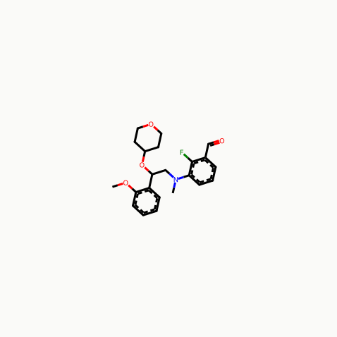 COc1ccccc1C(CN(C)c1cccc(C=O)c1F)OC1CCOCC1